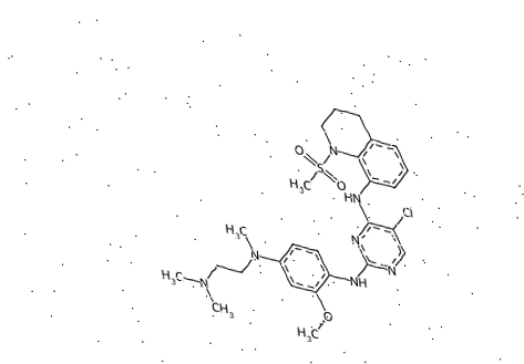 COc1cc(N(C)CCN(C)C)ccc1Nc1ncc(Cl)c(Nc2cccc3c2N(S(C)(=O)=O)CCC3)n1